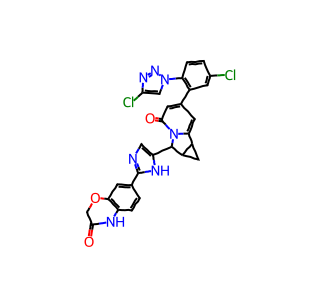 O=C1COc2cc(-c3ncc(C4C5CC5c5cc(-c6cc(Cl)ccc6-n6cc(Cl)nn6)cc(=O)n54)[nH]3)ccc2N1